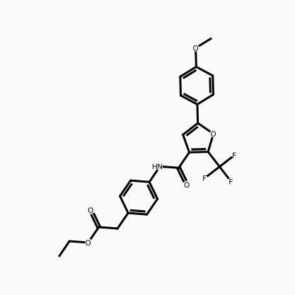 CCOC(=O)Cc1ccc(NC(=O)c2cc(-c3ccc(OC)cc3)oc2C(F)(F)F)cc1